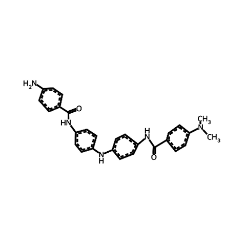 CN(C)c1ccc(C(=O)Nc2ccc(Nc3ccc(NC(=O)c4ccc(N)cc4)cc3)cc2)cc1